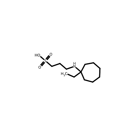 CCC1(NCCCS(=O)(=O)O)CCCCCC1